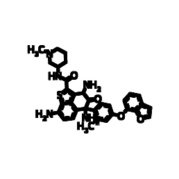 Cc1cc(Oc2cccc3ccoc23)ccc1C1(N)C(=O)C(N)c2c(C(=O)NC3CCCN(C)C3)sc3c(N)ccc1c23